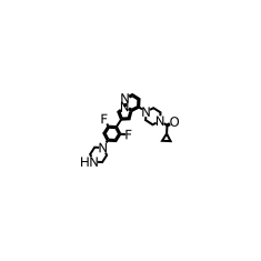 O=C(C1CC1)N1CCN(c2ccnn3cc(-c4c(F)cc(N5CCNCC5)cc4F)cc23)CC1